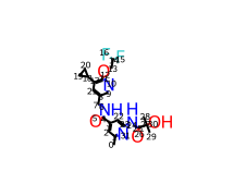 Cc1cc(C(=O)NCc2cnc(OCC(F)F)c(C3CC3)c2)cc(NC(=O)C(C)(C)O)n1